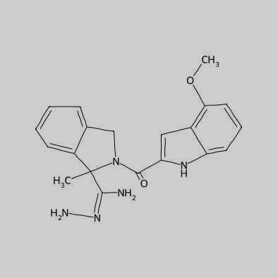 COc1cccc2[nH]c(C(=O)N3Cc4ccccc4C3(C)/C(N)=N\N)cc12